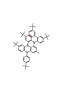 Cc1cc2c3c(c1)N(c1ccc(C(C)(C)C)cc1-c1cccc(C(C)(C)C)c1)c1ccc(C(C)(C)C)cc1B3c1cc(C(C)(C)C)ccc1N2c1ccc(C(C)(C)C)cc1